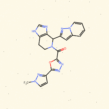 O=C(c1nnc(-c2ccn(C(F)(F)F)n2)o1)N1CCc2[nH]cnc2C1c1cc2ccccn2n1